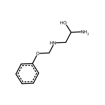 NC(O)CNCOc1ccccc1